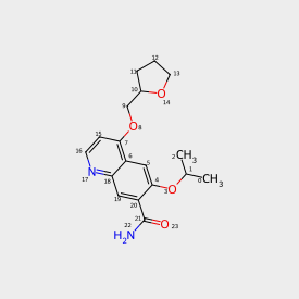 CC(C)Oc1cc2c(OCC3CCCO3)ccnc2cc1C(N)=O